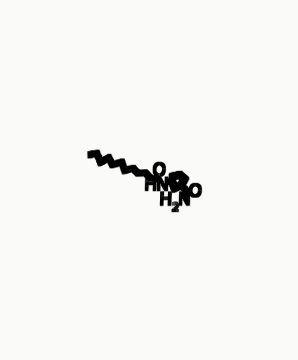 CCCCCCCCCCCC(=O)Nc1cccc(C(N)=O)c1